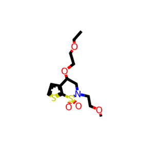 CCOCCOC1CN(CCOC)S(=O)(=O)c2sccc21